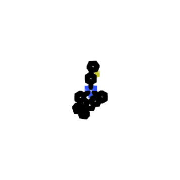 c1ccc(-c2nc(-c3ccc4c(c3)sc3ccccc34)nc(-c3cccc4c3-c3c(ccc5ccccc35)C43C4CCC5CCC(C4)CC53)n2)cc1